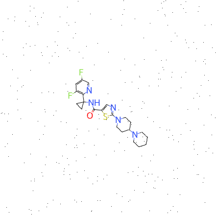 O=C(NC1(c2ncc(F)cc2F)CC1)c1cnc(N2CCC(N3CCCCC3)CC2)s1